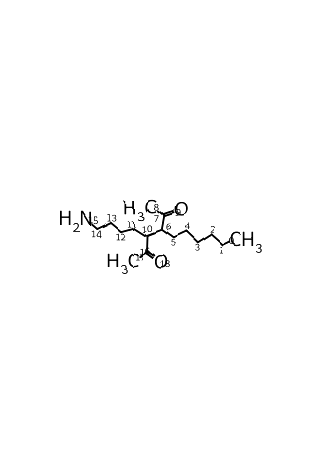 CCCCCCC(C(C)=O)C(CCCCN)C(C)=O